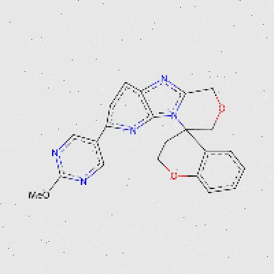 COc1ncc(-c2ccc3nc4n(c3n2)C2(CCOc3ccccc32)COC4)cn1